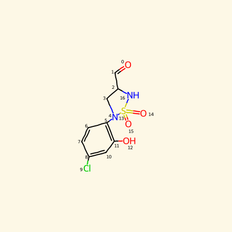 O=CC1CN(c2ccc(Cl)cc2O)S(=O)(=O)N1